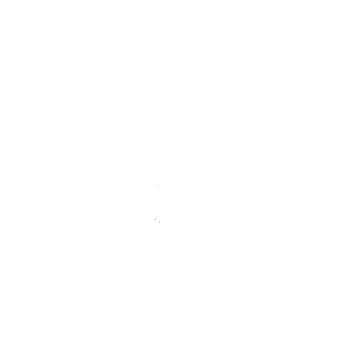 CC1=C(C)CC(Cc2c[nH]c(=S)[nH]2)CC1